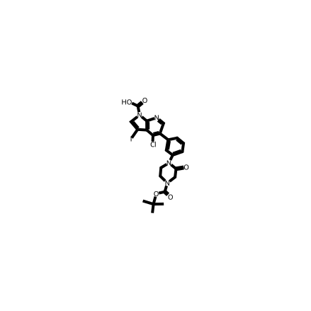 CC(C)(C)OC(=O)N1CCN(c2cccc(-c3cnc4c(c(I)cn4C(=O)O)c3Cl)c2)C(=O)C1